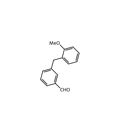 COc1ccccc1Cc1cccc(C=O)c1